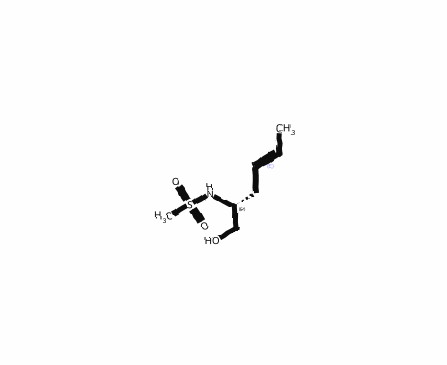 C/C=C/C[C@H](CO)NS(C)(=O)=O